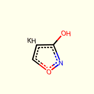 Oc1ccon1.[KH]